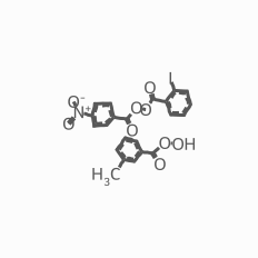 Cc1cccc(C(=O)OO)c1.O=C(OOC(=O)c1ccccc1I)c1ccc([N+](=O)[O-])cc1